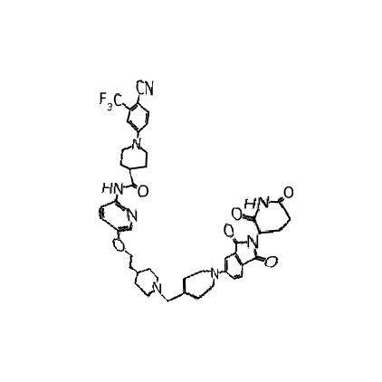 N#Cc1ccc(N2CCC(C(=O)Nc3ccc(OCCC4CCN(CC5CCN(c6ccc7c(c6)C(=O)N(C6CCC(=O)NC6=O)C7=O)CC5)CC4)cn3)CC2)cc1C(F)(F)F